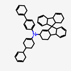 C1=CCCC(c2ccc(N(C3=CCC(C4C=CC=CC4)CC3)C3C=C4C(CC3)C3C=CC=CC3C43C4C=CC=CC4C4C=CCCC43)cc2)=C1